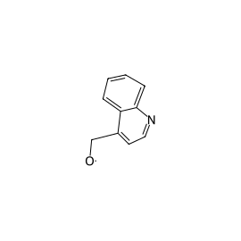 [O]Cc1ccnc2ccccc12